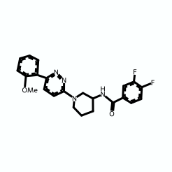 COc1ccccc1-c1ccc(N2CCCC(NC(=O)c3ccc(F)c(F)c3)C2)nn1